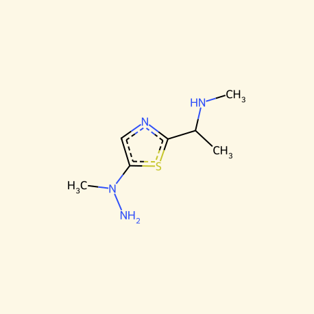 CNC(C)c1ncc(N(C)N)s1